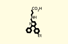 CCc1ccc(-c2ccc(CNCCCC(=O)O)nc2-c2ccccc2)cc1